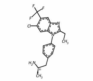 CCc1nc2cc(C(F)(F)F)c(Cl)cc2n1-c1ccc(C[C@@H](C)N)cc1